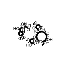 CC[C@H]1OC(=O)[C@H](C)[C@@H](O[C@H]2C[C@@](C)(OC)[C@@H](O)[C@H](C)O2)[C@H](C)[C@@H](O[C@@H]2O[C@H](C)C[C@H](N(C)C)[C@H]2O)[C@](C)(O)C[C@@H](C)C(=O)[C@H](C)[C@@H](O)[C@]1(C)O.CS(=O)(=O)c1ccc([C@@H](O)[C@@H](CO)NC(=O)C(Cl)Cl)cc1